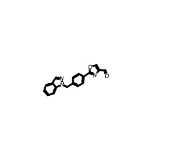 O=Cc1coc(-c2ccc(Cn3ncc4ccccc43)cc2)n1